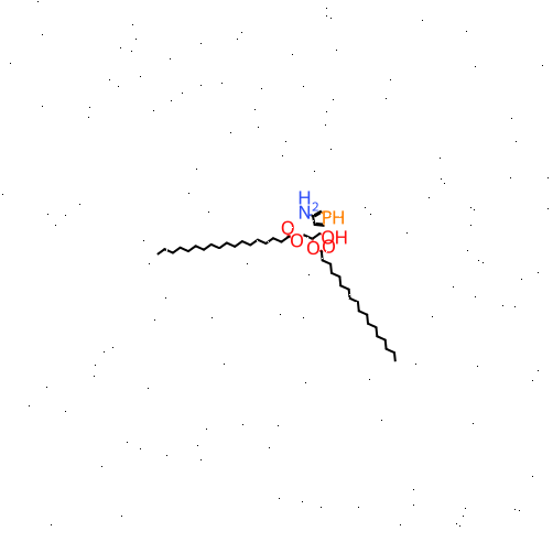 CCCCCCCCCCCCCCCCCC(=O)OCC(CO)OC(=O)CCCCCCCCCCCCCCCCC.Nc1cc[pH]c1